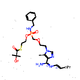 CCC/C=C/N=C(/N)c1ncn(CCOCP(=O)(NCc2ccccc2)OCCSC(=O)C(C)(C)O)c1C